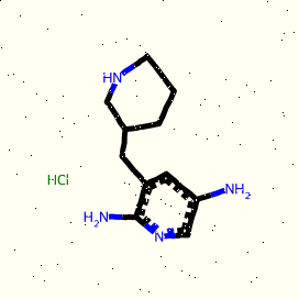 Cl.Nc1cnc(N)c(CC2CCCNC2)c1